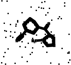 Cn1cncc1C(=O)c1cccc(C#N)c1